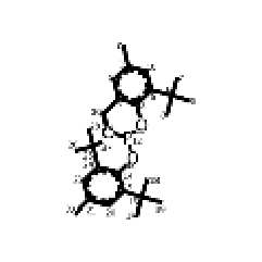 Cc1cc2c(c(C(C)(C)C)c1)OP(Oc1c(C(C)(C)C)cc(C)cc1C(C)(C)C)OC2